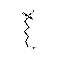 CCCCCCCCCCS([O])(=O)=O